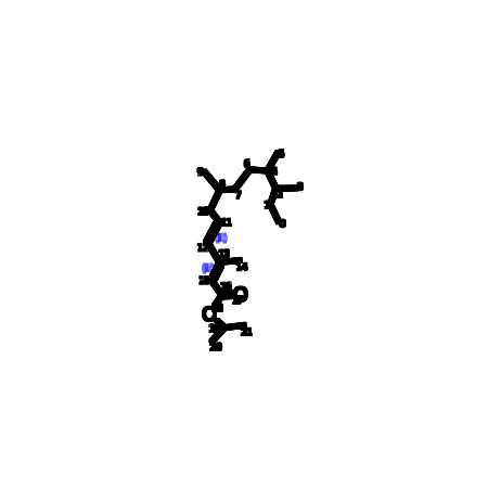 CCC(C)C(C)CCC(C)C/C=C/C(C)=C/C(=O)OC(C)C